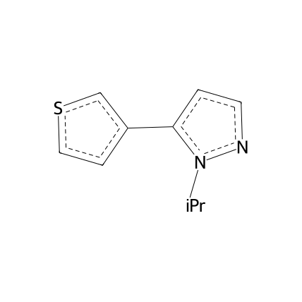 CC(C)n1nccc1-c1ccsc1